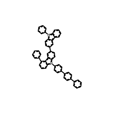 c1ccc(-c2ccc(-c3ccc(-n4c5ccc(-c6ccc7c(c6)c6ccccc6n7-c6ccccc6)cc5c5c(-c6ccccc6)cccc54)cc3)cc2)cc1